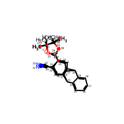 CC1(C)OB(c2cc3c(cc2C#N)C2c4ccccc4C3c3cc(B4OC(C)(C)C(C)(C)O4)c(C#N)cc32)OC1(C)C